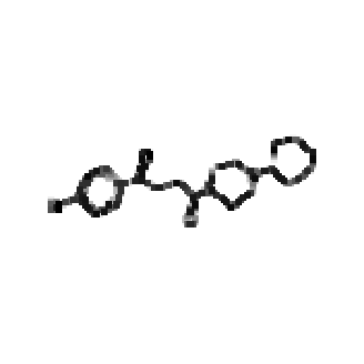 O=C(CCC(=O)N1CCN(C2CCCCC2)CC1)c1ccc(Br)cc1